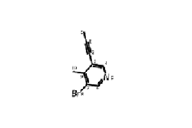 CC#Cc1cncc(Br)c1C